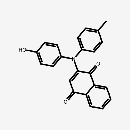 Cc1ccc(N(C2=CC(=O)c3ccccc3C2=O)c2ccc(O)cc2)cc1